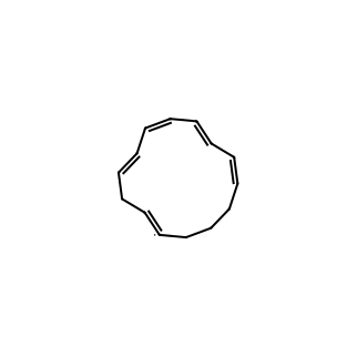 [C]1=C/C/C=C/C=C\C=C\C=C/CCC/1